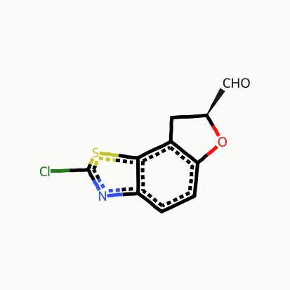 O=C[C@@H]1Cc2c(ccc3nc(Cl)sc23)O1